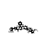 COc1cnccc1-c1nc(C)c(C(=O)N2CC[C@@H](C(=O)N3CCC(O)(Cn4cnc5c(ccn5C)c4=O)CC3)[C@H](c3ccccc3)C2)s1